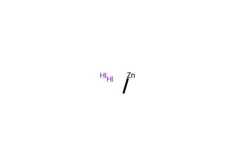 I.I.[CH3][Zn]